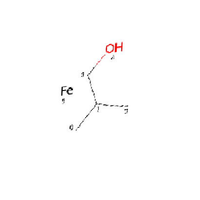 CC(C)CO.[Fe]